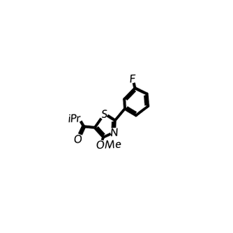 COc1nc(-c2cccc(F)c2)sc1C(=O)C(C)C